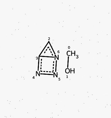 CO.c1c2nnn1-2